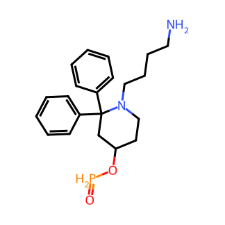 NCCCCN1CCC(O[PH2]=O)CC1(c1ccccc1)c1ccccc1